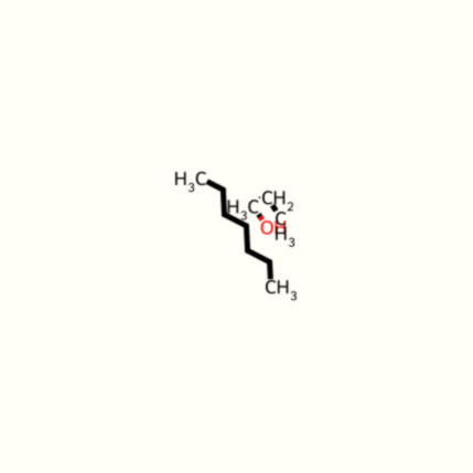 CCCCCCC.CO.[CH2]C